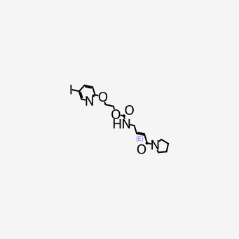 O=C(NC/C=C/C(=O)N1CCCC1)OCCOc1ccc(I)cn1